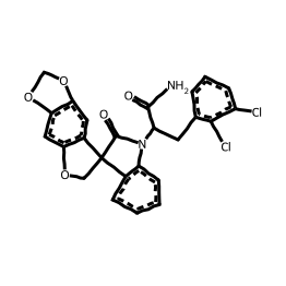 NC(=O)C(Cc1cccc(Cl)c1Cl)N1C(=O)C2(COc3cc4c(cc32)OCO4)c2ccccc21